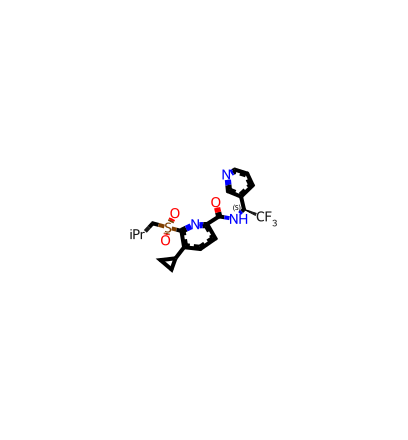 CC(C)CS(=O)(=O)c1nc(C(=O)N[C@@H](c2cccnc2)C(F)(F)F)ccc1C1CC1